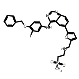 CS(=O)(=O)CCNCc1ccc(-c2ccc3ncnc(Nc4ccc(OCc5ccccc5)c(I)c4)c3c2)o1